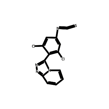 S=C=Nc1cc(Cl)c(-c2nnc3ccccn23)c(Cl)c1